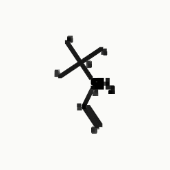 C=C[SiH2]C(C)(C)C